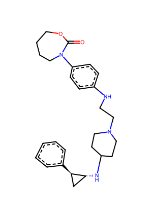 O=C1OCCCCN1c1ccc(NCCN2CCC(N[C@@H]3C[C@H]3c3ccccc3)CC2)cc1